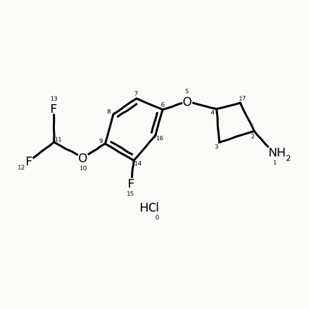 Cl.NC1CC(Oc2ccc(OC(F)F)c(F)c2)C1